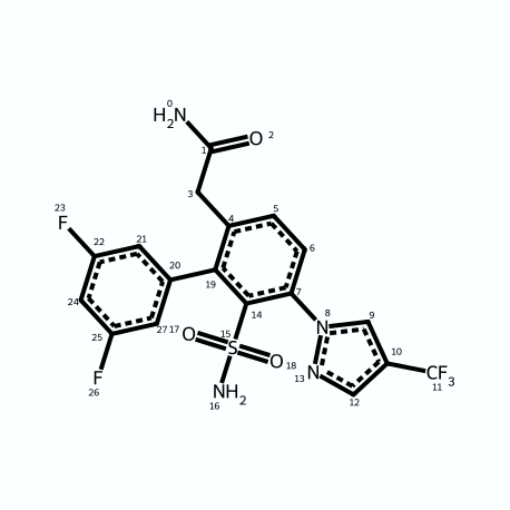 NC(=O)Cc1ccc(-n2cc(C(F)(F)F)cn2)c(S(N)(=O)=O)c1-c1cc(F)cc(F)c1